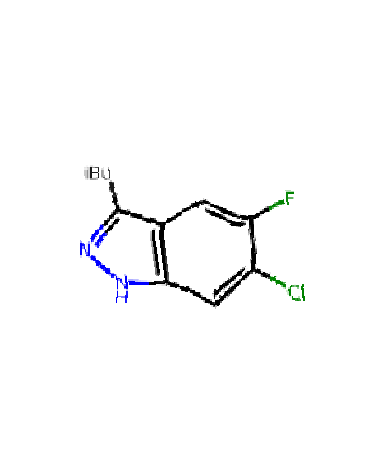 CCC(C)c1n[nH]c2cc(Cl)c(F)cc12